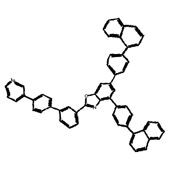 c1cncc(-c2ccc(-c3cccc(-c4nc5c(-c6ccc(-c7cccc8ccccc78)cc6)cc(-c6ccc(-c7cccc8ccccc78)cc6)cc5o4)c3)cc2)c1